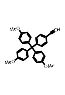 C#Cc1ccc(C(c2ccc(OC)cc2)(c2ccc(OC)cc2)c2ccc(OC)cc2)cc1